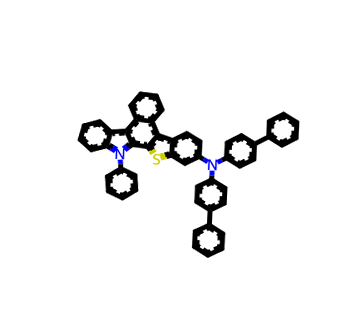 c1ccc(-c2ccc(N(c3ccc(-c4ccccc4)cc3)c3ccc4c(c3)sc3c4c4ccccc4c4c5ccccc5n(-c5ccccc5)c34)cc2)cc1